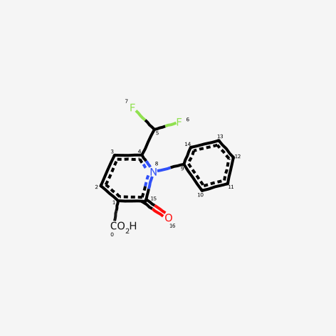 O=C(O)c1ccc(C(F)F)n(-c2ccccc2)c1=O